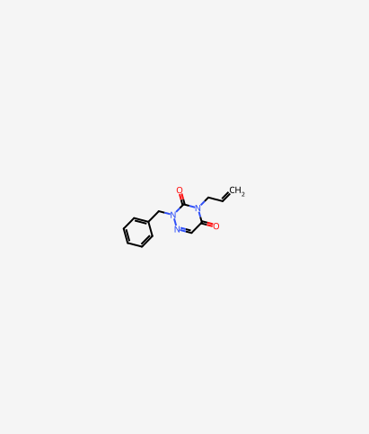 C=CCn1c(=O)cnn(Cc2ccccc2)c1=O